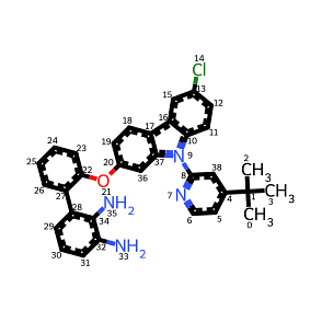 CC(C)(C)c1ccnc(-n2c3ccc(Cl)cc3c3ccc(Oc4ccccc4-c4cccc(N)c4N)cc32)c1